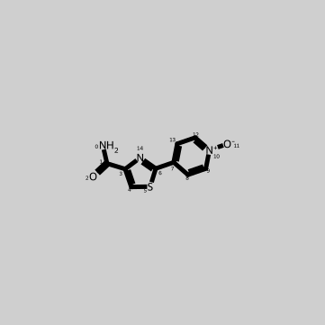 NC(=O)c1csc(-c2cc[n+]([O-])cc2)n1